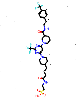 O=C(CCCC1CCN(c2cc(N3CCCC(C(=O)NCCc4ccc(C(F)(F)F)cc4)C3)nc(C(F)(F)F)n2)CC1)NCCS(=O)(=O)O